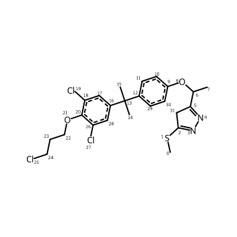 CSC1=NN=C(C(C)Oc2ccc(C(C)(C)c3cc(Cl)c(OCCCCl)c(Cl)c3)cc2)C1